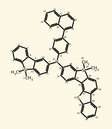 C[Si]1(C)c2ccccc2-c2cc(N(c3ccc(-c4cccc5ccccc45)cc3)c3ccc4c(c3)[Si](C)(C)c3ccc5c(sc6ccccc65)c3-4)ccc21